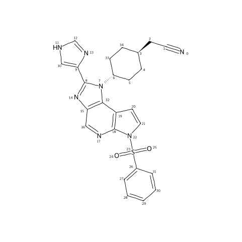 N#CC[C@H]1CC[C@H](n2c(-c3c[nH]cn3)nc3cnc4c(ccn4S(=O)(=O)c4ccccc4)c32)CC1